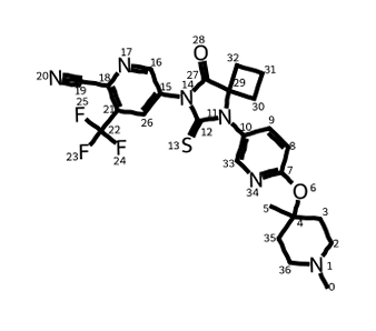 CN1CCC(C)(Oc2ccc(N3C(=S)N(c4cnc(C#N)c(C(F)(F)F)c4)C(=O)C34CCC4)cn2)CC1